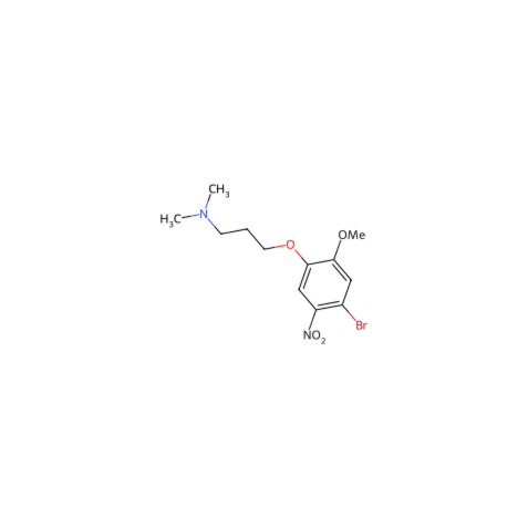 COc1cc(Br)c([N+](=O)[O-])cc1OCCCN(C)C